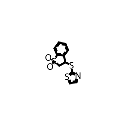 O=S1(=O)CC(Sc2nccs2)c2ccccc21